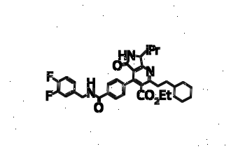 CCOC(=O)c1c(CCC2CCCCC2)nc2c(c1-c1ccc(C(=O)NCc3ccc(F)c(F)c3)cc1)C(=O)NC2C(C)C